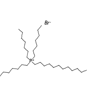 CCCCCCCCCCCC[P+](CCCCCCC)(CCCCCCC)CCCCCCC.[Br-]